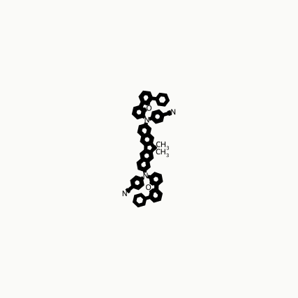 CC1(C)c2cc3cc(N(c4ccc(C#N)cc4)c4cccc5c4oc4c(C6CCCCC6)cccc45)ccc3cc2-c2cc3ccc(N(c4ccc(C#N)cc4)c4cccc5c4oc4c(C6CCCCC6)cccc45)cc3cc21